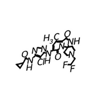 Cc1cc(Nc2ncnc(NC(=O)C3CC3)c2Cl)c(=O)n2c1C(=O)NC21CCN(CC(F)F)CC1